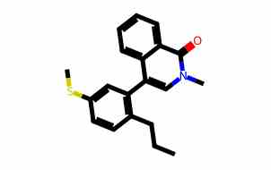 CCCc1ccc(SC)cc1-c1cn(C)c(=O)c2ccccc12